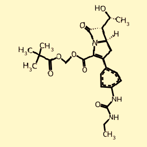 CCNC(=O)Nc1ccc(C2=C(C(=O)OCOC(=O)C(C)(C)C)N3C(=O)[C@H]([C@@H](C)O)[C@H]3C2)cc1